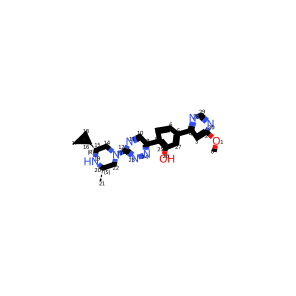 COc1cc(-c2ccc(-c3cnc(N4C[C@@H](C5CC5)N[C@@H](C)C4)nn3)c(O)c2)ncn1